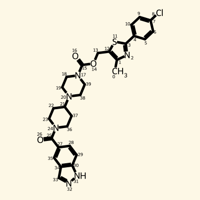 Cc1nc(-c2ccc(Cl)cc2)sc1COC(=O)N1CCN(C2CCN(C(=O)c3ccc4[nH]ncc4c3)CC2)CC1